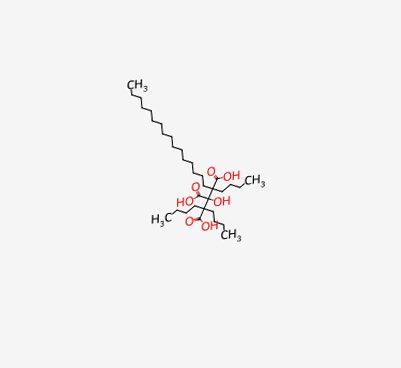 CCCCCCCCCCCCCCCCC(CCCC)(C(=O)O)C(O)(C(=O)O)C(CCCC)(CCCC)C(=O)O